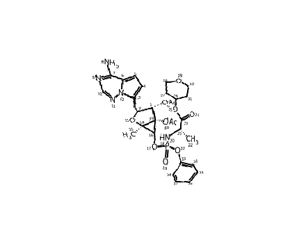 CC(=O)O[C@H]1[C@H](c2ccc3c(N)ncnn23)O[C@]2(C)C(OP(=O)(N[C@@H](C)C(=O)OC3CCOCC3)Oc3ccccc3)[C@]12OC(C)=O